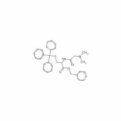 CN(C)CC(=O)NC(CSC(c1ccccc1)(c1ccccc1)c1ccccc1)C(=O)OCc1ccccc1